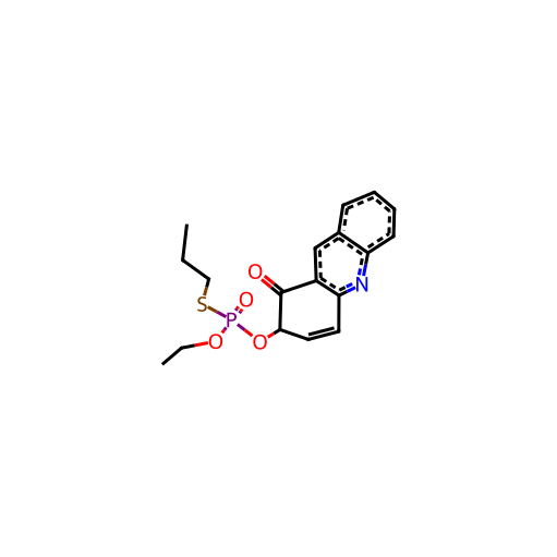 CCCSP(=O)(OCC)OC1C=Cc2nc3ccccc3cc2C1=O